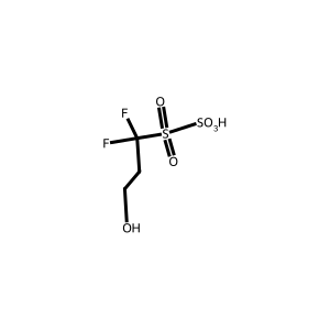 O=S(=O)(O)S(=O)(=O)C(F)(F)CCO